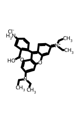 CCN(CC)c1ccc2c(-c3ccc(N)cc3C(=O)O)c3ccc(=[N+](CC)CC)cc-3oc2c1.[Cl-]